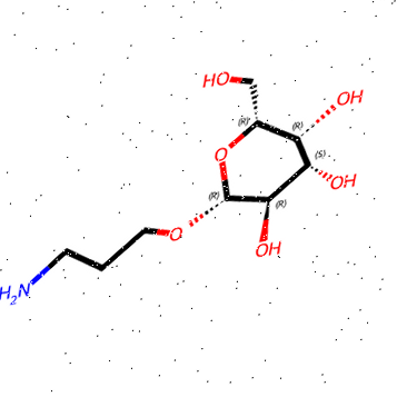 NCCCO[C@@H]1O[C@H](CO)[C@H](O)[C@H](O)[C@H]1O